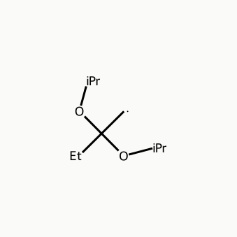 [CH2]C(CC)(OC(C)C)OC(C)C